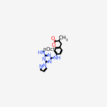 CCCCCCCCNc1nc(Nc2ccc3c(c2)OC(=O)C(C)C3)nc(-n2cccn2)n1